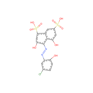 O=S(=O)(O)c1cc(O)c2c(N=Nc3cc(Cl)ccc3O)c(O)cc(S(=O)(=O)O)c2c1